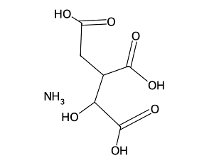 N.O=C(O)CC(C(=O)O)C(O)C(=O)O